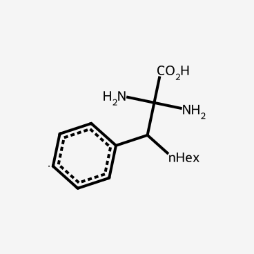 CCCCCCC(c1cc[c]cc1)C(N)(N)C(=O)O